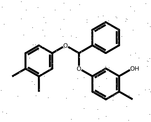 Cc1ccc(OC(Oc2ccc(C)c(O)c2)c2ccccc2)cc1C